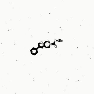 CC(C)(C)OC(=O)N1CCC2(C=C(c3ccccc3)CO2)CC1